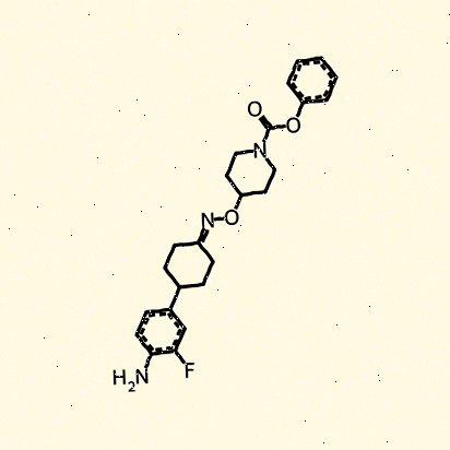 Nc1ccc(C2CCC(=NOC3CCN(C(=O)Oc4ccccc4)CC3)CC2)cc1F